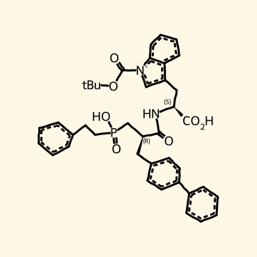 CC(C)(C)OC(=O)n1cc(C[C@H](NC(=O)[C@@H](Cc2ccc(-c3ccccc3)cc2)CP(=O)(O)CCc2ccccc2)C(=O)O)c2ccccc21